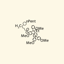 CCCCCC1CCC(C(C)CCCC(=O)Oc2cc3c4c(c5c(c3cc2OC)OC(c2ccc(OC)cc2)(c2ccc(OC)cc2)C=C5)C(CC)(OC)c2ccccc2-4)CC1